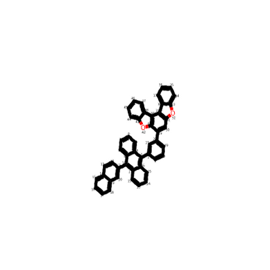 c1cc(-c2c3ccccc3c(-c3ccc4ccccc4c3)c3ccccc23)cc(-c2cc3oc4ccccc4c3c3c2oc2ccccc23)c1